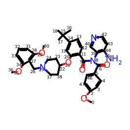 COc1ccc(C(=O)N(C(=O)c2ccc(C(C)(C)C)cc2OC2CCN(Cc3c(OC)cccc3OC)CC2)c2cnccc2N)cc1